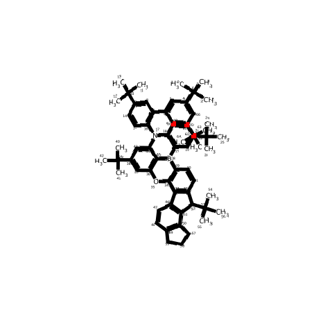 CC(C)(C)c1cc(-c2cc(C(C)(C)C)ccc2N2c3ccc(C(C)(C)C)cc3B3c4ccc5c(c4Oc4cc(C(C)(C)C)cc2c43)-c2ccc3c(c2C5C(C)(C)C)CCC3)cc(C(C)(C)C)c1